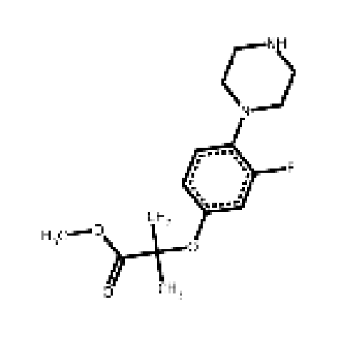 COC(=O)C(C)(C)Oc1ccc(N2CCNCC2)c(F)c1